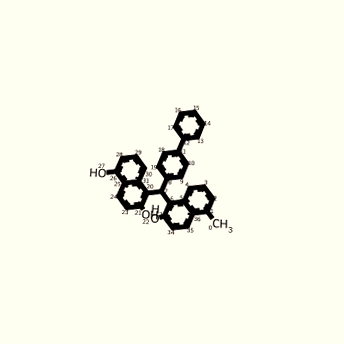 Cc1cccc2c(C(c3ccc(-c4ccccc4)cc3)c3c(O)ccc4c(O)cccc34)c(O)ccc12